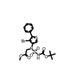 COC(=O)CN(c1csc(-c2ccccc2)c1Br)S(=O)(=O)NC(=O)OC(C)(C)C